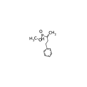 C=C(CCc1ccccc1)[PH](=O)OC